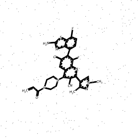 C=CC(=O)N1CCN(c2c(C#N)c(-c3cn(C)nc3C)nc3c(F)c(-c4ccc(F)c5sc(N)nc45)c(Cl)cc23)CC1